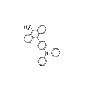 Cc1c2ccccc2c(-c2ccc(N(c3ccccc3)c3ccccc3)cc2)c2ccccc12